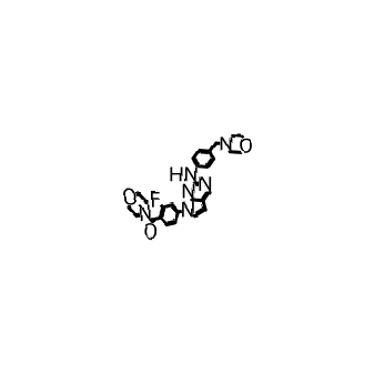 O=C(c1ccc(-n2ccc3cnc(Nc4ccc(CN5CCOCC5)cc4)nc32)cc1F)N1CCOCC1